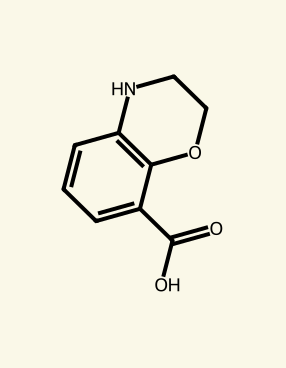 O=C(O)c1cccc2c1OCCN2